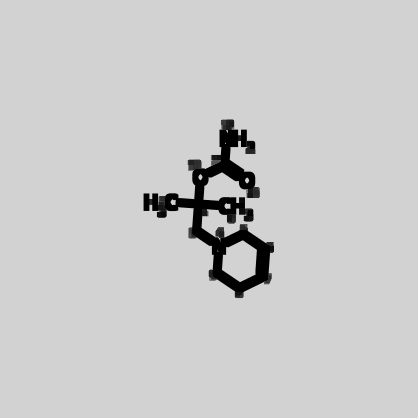 CC(C)(CN1CC=CCC1)OC(N)=O